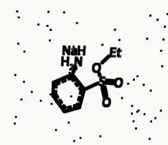 CCOS(=O)(=O)c1ccccc1N.[NaH]